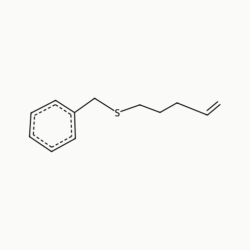 C=CCCCSCc1ccccc1